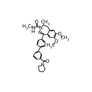 CNC(=O)N1N=C(c2ccc(-c3cccc(C(=O)N4CCCC4)c3)cc2)c2cc(OC)c(OC)cc2CC1C